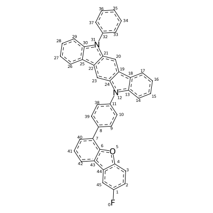 Fc1ccc2oc3c(-c4ccc(-n5c6ccccc6c6cc7c(cc65)c5ccccc5n7-c5ccccc5)cc4)cccc3c2c1